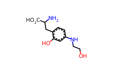 NC(Cc1ccc(NCCO)cc1O)C(=O)O